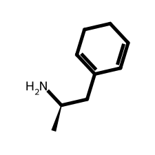 C[C@@H](N)CC1=CCCC=C1